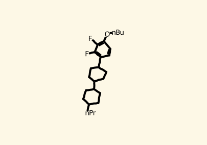 CCCCOc1ccc(C2CCC(C3CCC(CCC)CC3)CC2)c(F)c1F